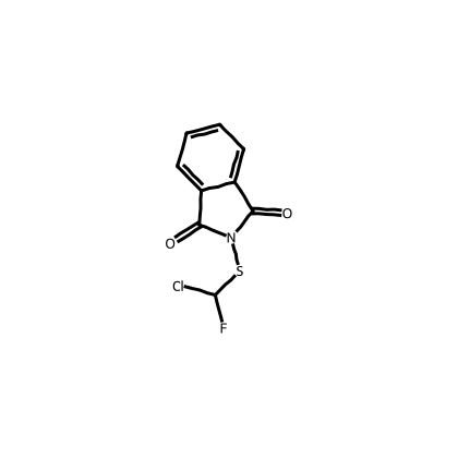 O=C1c2ccccc2C(=O)N1SC(F)Cl